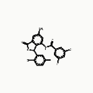 Nc1cc(NC(=O)c2cc(F)cc(Cl)c2)c2c(c1)C(=O)NC2c1cc(F)ccc1Cl